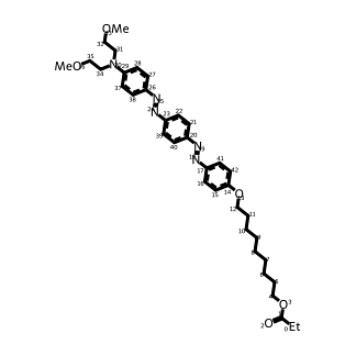 CCC(=O)OCCCCCCCCCOc1ccc(N=Nc2ccc(N=Nc3ccc(N(CCOC)CCOC)cc3)cc2)cc1